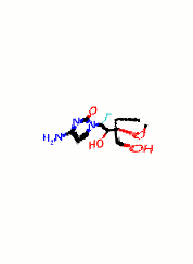 CC[C@](CO)(OC)[C@@H](O)[C@@H](F)n1ccc(N)nc1=O